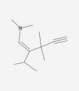 C#CC(C)(C)/C(=C\N(C)C)C(C)C